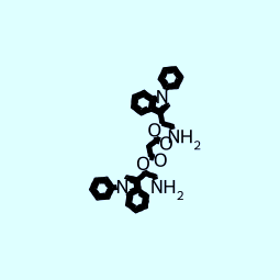 NCC(OC(=O)CC(=O)OC(CN)c1cn(-c2ccccc2)c2ccccc12)c1cn(-c2ccccc2)c2ccccc12